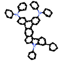 c1ccc(-c2ccc3c4c5cc6c7ccc(N(c8ccccc8)c8ccccc8)cc7c7cc(N(c8ccccc8)c8ccccc8)ccc7c6cc5ccc4n(-c4ccccc4)c3c2)cc1